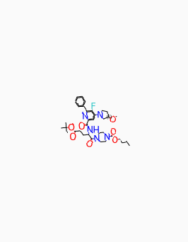 CCCCOC(=O)N1CCN(C(=O)C(CCC(=O)OC(C)(C)C)NC(=O)c2cc(N3CC[C@H](OC)C3)c(F)c(-c3ccccc3)n2)CC1